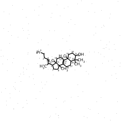 CC(C)CCCC(C)C1CCC2(C)C3=C(CCC12C)C1(C)CCC(O)C(C)(C)C1CC3